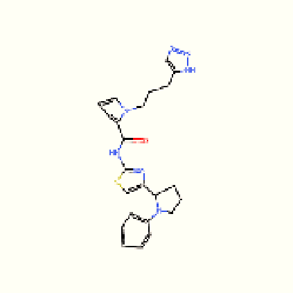 O=C(Nc1nc(C2CCCN2c2ccccc2)cs1)c1cccn1CCCc1cnn[nH]1